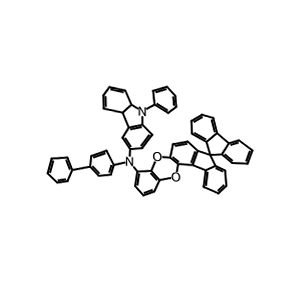 C1=CC2c3cc(N(c4ccc(-c5ccccc5)cc4)c4cccc5c4Oc4ccc6c(c4O5)-c4ccccc4C64c5ccccc5-c5ccccc54)ccc3N(c3ccccc3)C2C=C1